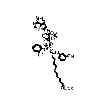 CCCCCCCCCCCCCCCCCCCC[C@H](COP(=O)(Oc1ccccc1Cl)OC1[C@@]2(C)O[C@@H](c3ccc4c(N)ncnn34)[C@@H]3OC(C)(C)O[C@@]132)Oc1cccc(C#N)c1